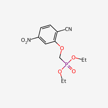 CCOP(=O)(COc1cc([N+](=O)[O-])ccc1C#N)OCC